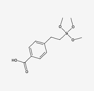 CO[Si](CCc1ccc(C(=O)O)cc1)(OC)OC